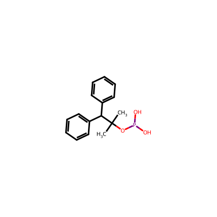 CC(C)(OP(O)O)C(c1ccccc1)c1ccccc1